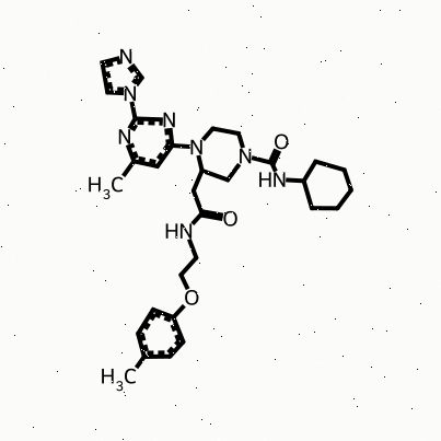 Cc1ccc(OCCNC(=O)CC2CN(C(=O)NC3CCCCC3)CCN2c2cc(C)nc(-n3ccnc3)n2)cc1